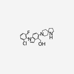 OCc1c(N2CCC3(CCCN3)CC2)ccc2c1ccn2-c1c(F)cccc1Cl